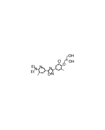 CCN(CC)c1ncc(-c2nc(-c3cc(C)c(OC[C@@H](O)CO)c(Cl)c3)no2)cc1C